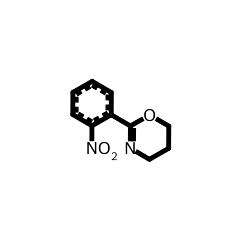 O=[N+]([O-])c1ccccc1C1=NCCCO1